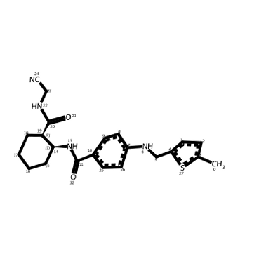 Cc1ccc(CNc2ccc(C(=O)N[C@H]3CCCC[C@H]3C(=O)NCC#N)cc2)s1